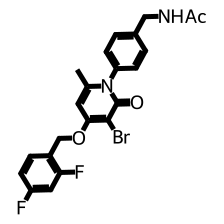 [CH2]C(=O)NCc1ccc(-n2c(C)cc(OCc3ccc(F)cc3F)c(Br)c2=O)cc1